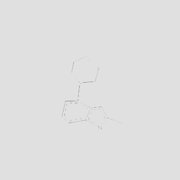 Cc1cn2c(N3CCOCC3)cccc2n1